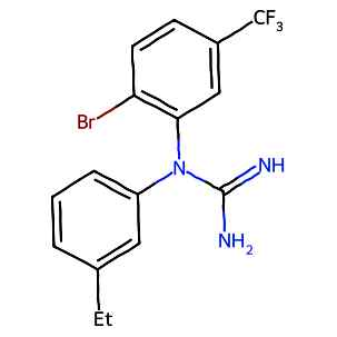 CCc1cccc(N(C(=N)N)c2cc(C(F)(F)F)ccc2Br)c1